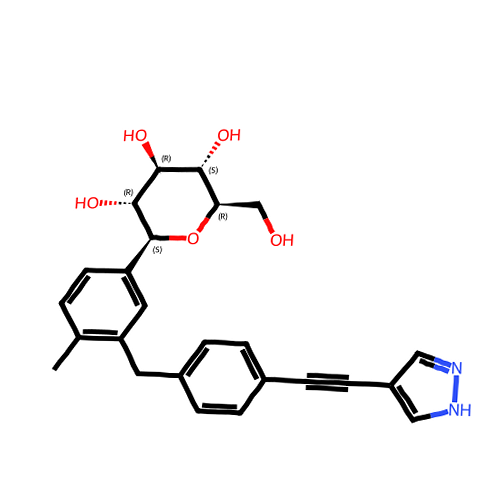 Cc1ccc([C@@H]2O[C@H](CO)[C@@H](O)[C@H](O)[C@H]2O)cc1Cc1ccc(C#Cc2cn[nH]c2)cc1